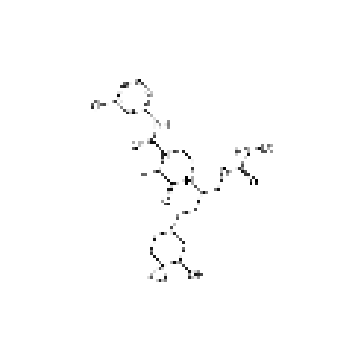 CCNC(=O)OCC(CCN1CCC2(CC2)C(O)C1)N1CCN(C(=O)Nc2cccc(Cl)c2)C(C)C1=O